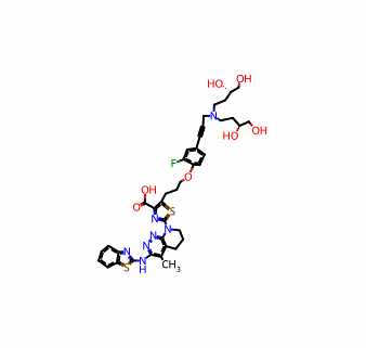 Cc1c(Nc2nc3ccccc3s2)nnc2c1CCCN2c1nc(C(=O)O)c(CCCOc2ccc(C#CCN(CC[C@H](O)CO)CC[C@H](O)CO)cc2F)s1